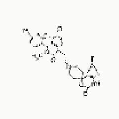 CN(Cc1ccc(Cl)cc1)C(=O)C(CCN1CCC2(CC1)OC(=O)Nc1ccc(F)cc12)c1ccc(Cl)c(Cl)c1